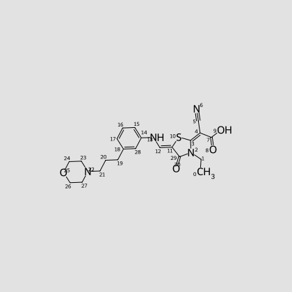 CCn1c(=C(C#N)C(=O)O)sc(=CNc2cccc(CCCN3CCOCC3)c2)c1=O